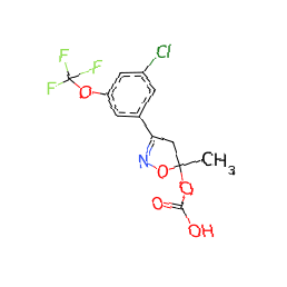 CC1(OC(=O)O)CC(c2cc(Cl)cc(OC(F)(F)F)c2)=NO1